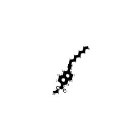 CCCCCCCCC#Cc1ccc2cc(C(=O)OCC)ccc2c1